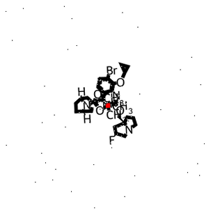 CC(C)(C)OC(=O)N1[C@@H]2CC[C@H]1CN(c1nc(OC[C@@]34CCCN3C[C@H](F)C4)nc3c(OC4CC4)c(Br)ccc13)C2